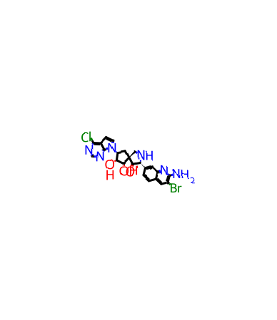 Nc1nc2cc([C@H]3NC[C@@]4(C[C@@H](n5ccc6c(Cl)ncnc65)[C@H](O)[C@@H]4O)C3=O)ccc2cc1Br